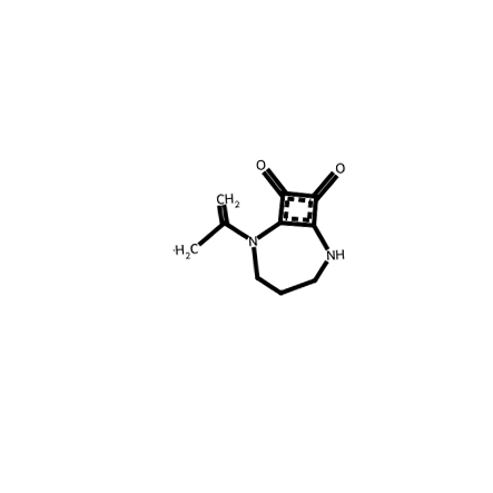 [CH2]C(=C)N1CCCNc2c1c(=O)c2=O